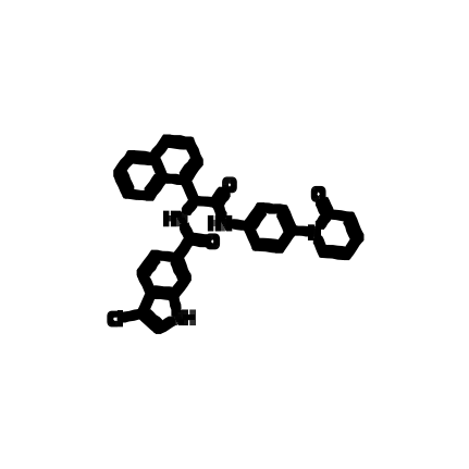 O=C(NC(C(=O)Nc1ccc(-n2ccccc2=O)cc1)c1cccc2ccccc12)c1ccc2c(Cl)c[nH]c2c1